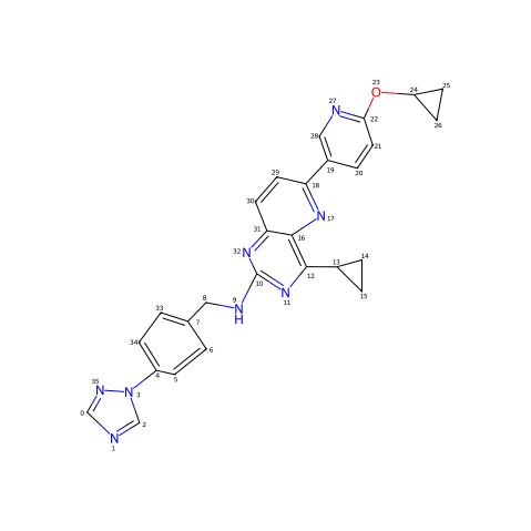 c1ncn(-c2ccc(CNc3nc(C4CC4)c4nc(-c5ccc(OC6CC6)nc5)ccc4n3)cc2)n1